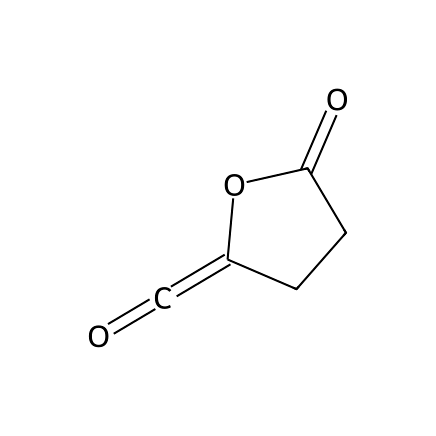 O=C=C1CCC(=O)O1